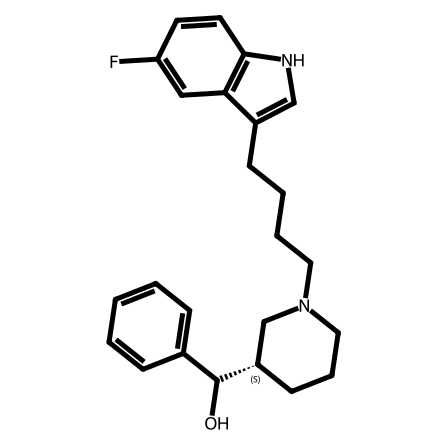 OC(c1ccccc1)[C@H]1CCCN(CCCCc2c[nH]c3ccc(F)cc23)C1